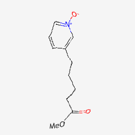 COC(=O)CCCCc1ccc[n+]([O-])c1